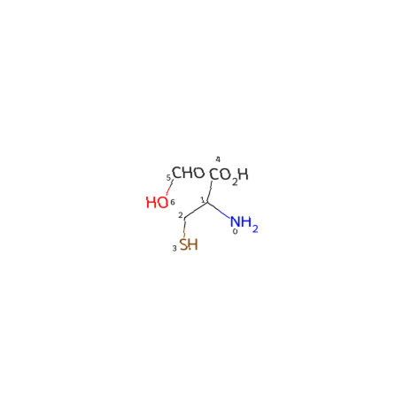 NC(CS)C(=O)O.O=CO